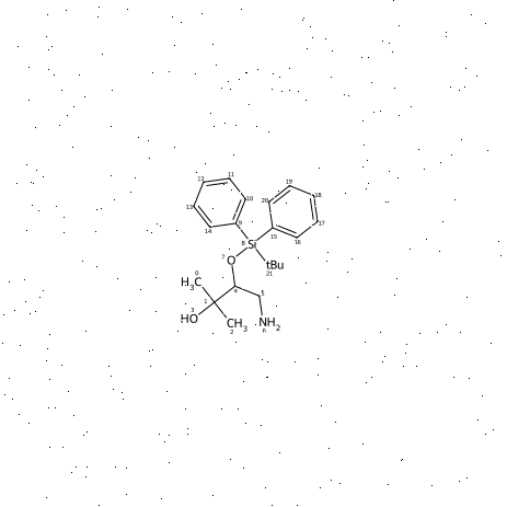 CC(C)(O)C(CN)O[Si](c1ccccc1)(c1ccccc1)C(C)(C)C